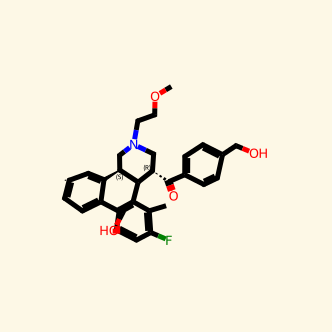 COCCN1C[C@H](C(=O)c2ccc(CO)cc2)C(c2cccc(F)c2C)[C@@H](c2c[c]ccc2CO)C1